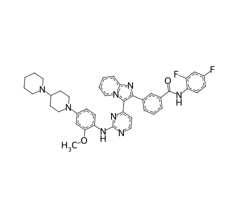 COc1cc(N2CCC(N3CCCCC3)CC2)ccc1Nc1nccc(-c2c(-c3cccc(C(=O)Nc4ccc(F)cc4F)c3)nc3ccccn23)n1